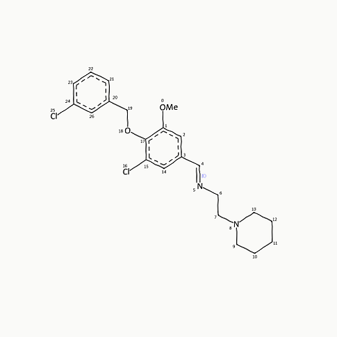 COc1cc(/C=N/CCN2CCCCC2)cc(Cl)c1OCc1cccc(Cl)c1